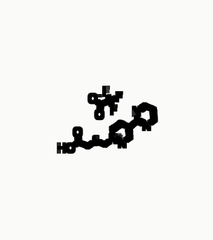 O=C(O)CSC[n+]1ccc(-c2ncccn2)cn1.O=C([O-])C(F)(F)F